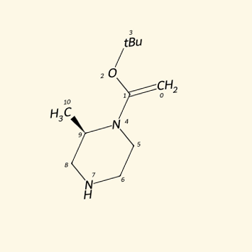 C=C(OC(C)(C)C)N1CCNC[C@H]1C